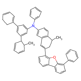 CC1CC(c2cccc3c2oc2c(-c4ccccc4)cccc23)=Cc2cc(N(c3ccccc3)c3cc(C4=CC=CCC4)cc(C4C=CC=CC4C)c3)ccc21